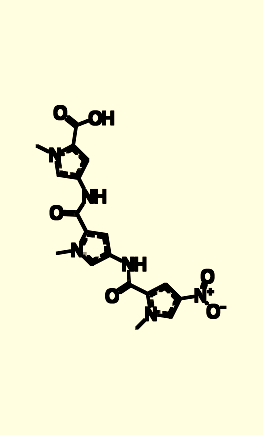 Cn1cc(NC(=O)c2cc(NC(=O)c3cc([N+](=O)[O-])cn3C)cn2C)cc1C(=O)O